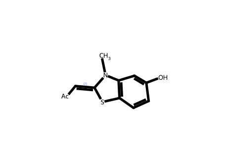 CC(=O)/C=C1\Sc2ccc(O)cc2N1C